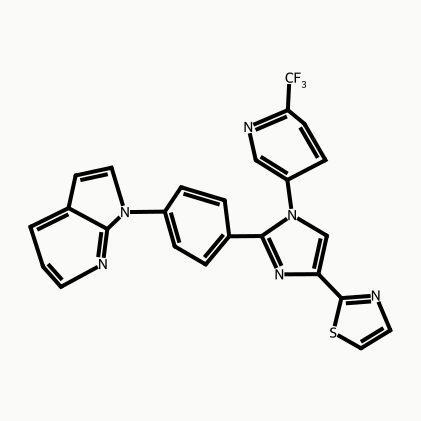 FC(F)(F)c1ccc(-n2cc(-c3nccs3)nc2-c2ccc(-n3ccc4cccnc43)cc2)cn1